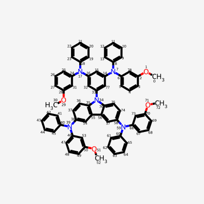 COc1cccc(N(c2ccccc2)c2cc(N(c3ccccc3)c3cccc(OC)c3)cc(-n3c4ccc(N(c5ccccc5)c5cccc(OC)c5)cc4c4cc(N(c5ccccc5)c5cccc(OC)c5)ccc43)c2)c1